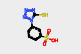 O=S(=O)(O)c1cccc(-n2nnnc2S)c1